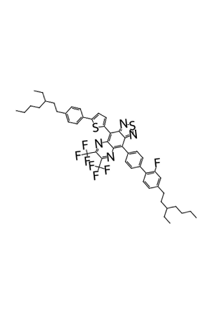 CCCCC(CC)CCc1ccc(-c2ccc(-c3c4nsnc4c(-c4ccc(-c5ccc(CCC(CC)CCCC)cc5F)cc4)c4nc(C(F)(F)F)c(C(F)(F)F)nc34)s2)cc1